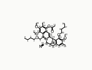 CCCCOC[C@H]1c2c(c(OC(C)=O)c(C)c(OC)c2OC)C=C2C3c4c(cc(C)c(OC)c4OCCCC)CC([C@H](C#N)N21)N3C